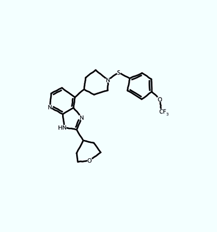 FC(F)(F)Oc1ccc(SN2CCC(c3ccnc4[nH]c(C5CCOCC5)nc34)CC2)cc1